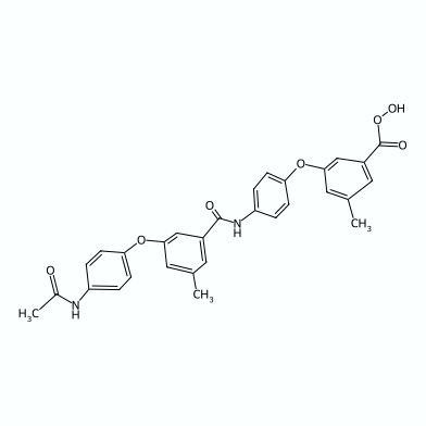 CC(=O)Nc1ccc(Oc2cc(C)cc(C(=O)Nc3ccc(Oc4cc(C)cc(C(=O)OO)c4)cc3)c2)cc1